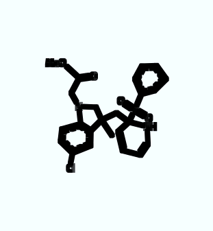 COC(=O)CN1CC(C)(CC2(S(=O)(=O)c3ccccc3)C=CC=CN2)c2cc(Cl)ccc21